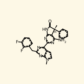 Cn1ccc2c(-c3nc(N)c4c(n3)NC(=O)[C@]4(C)c3ccccc3)nc(Cc3cccc(F)c3F)nc21